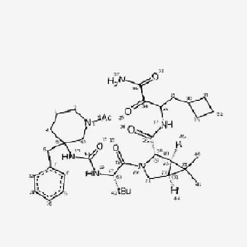 CC(=O)N1CCCC(Cc2ccccc2)(NC(=O)N[C@H](C(=O)N2C[C@H]3[C@@H]([C@H]2C(=O)NC(CC2CCC2)C(=O)C(N)=O)C3(C)C)C(C)(C)C)C1